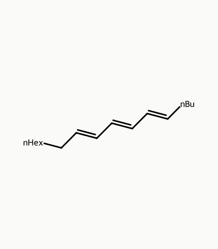 [CH2]CCCC=CC=CC=CCCCCCCC